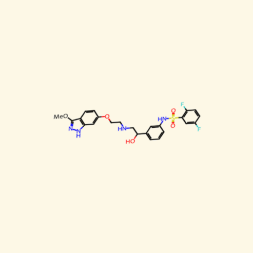 COc1n[nH]c2cc(OCCNCC(O)c3cccc(NS(=O)(=O)c4cc(F)ccc4F)c3)ccc12